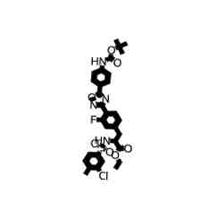 CCOC(=O)C(Cc1ccc(-c2noc(-c3ccc(NC(=O)OC(C)(C)C)cc3)n2)c(F)c1)NS(=O)(=O)c1ccc(C)c(Cl)c1